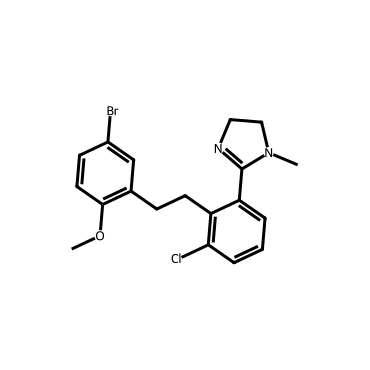 COc1ccc(Br)cc1CCc1c(Cl)cccc1C1=NCCN1C